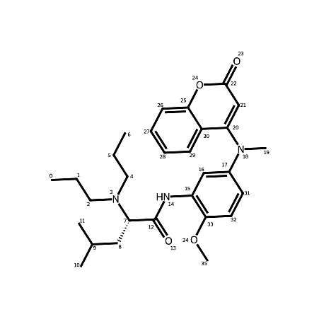 CCCN(CCC)[C@@H](CC(C)C)C(=O)Nc1cc(N(C)c2cc(=O)oc3ccccc23)ccc1OC